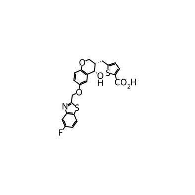 O=C(O)c1ccc(C[C@H]2COc3ccc(OCc4nc5cc(F)ccc5s4)cc3[C@H]2O)s1